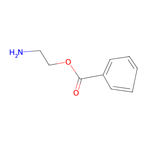 NCCOC(=O)c1ccccc1